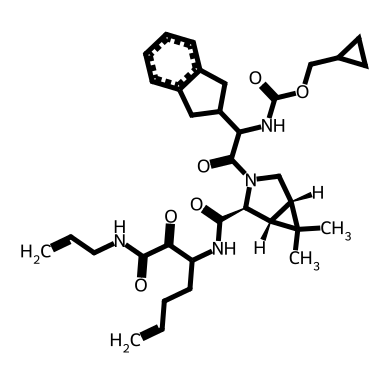 C=CCCC(NC(=O)[C@@H]1[C@@H]2[C@H](CN1C(=O)C(NC(=O)OCC1CC1)C1Cc3ccccc3C1)C2(C)C)C(=O)C(=O)NCC=C